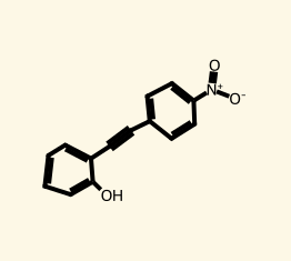 O=[N+]([O-])c1ccc(C#Cc2ccccc2O)cc1